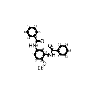 CCOc1ccc(NC(=O)c2ccccc2)cc1NC(=O)c1ccccc1